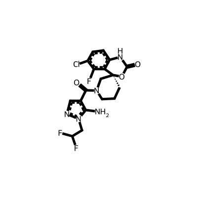 Nc1c(C(=O)N2CCC[C@@]3(C2)OC(=O)Nc2ccc(Cl)c(F)c23)cnn1CC(F)F